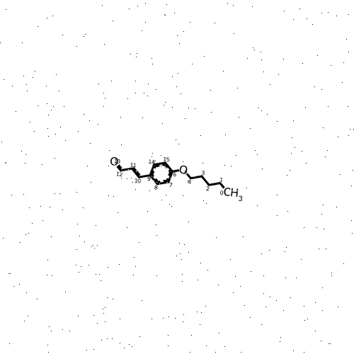 CCCCCOc1ccc(C=CC=O)cc1